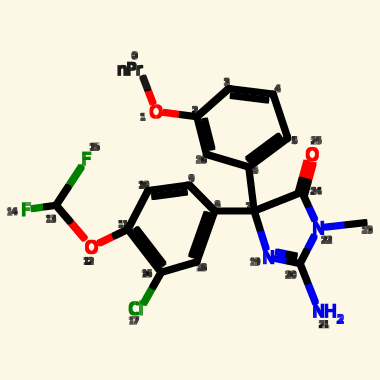 CCCOc1cccc(C2(c3ccc(OC(F)F)c(Cl)c3)N=C(N)N(C)C2=O)c1